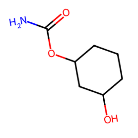 NC(=O)OC1CCCC(O)C1